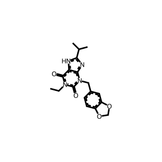 CCn1c(=O)c2[nH]c(C(C)C)nc2n(Cc2ccc3c(c2)OCO3)c1=O